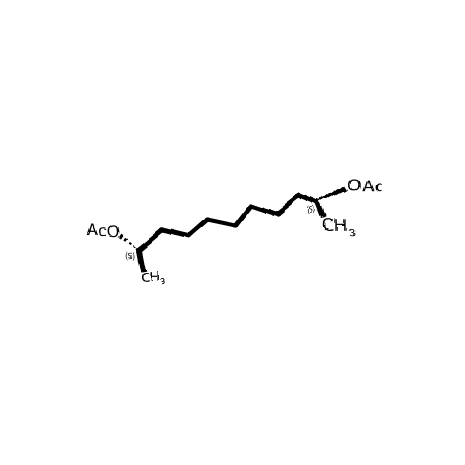 CC(=O)O[C@@H](C)CCCCCCC[C@H](C)OC(C)=O